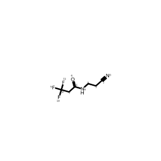 N#CCCNC(=O)CC(F)(F)F